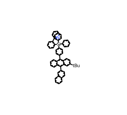 CC(C)(C)c1ccc2c(-c3ccc([Si](c4ccccc4)(c4ccccc4)c4ccccc4-c4ccccn4)cc3)c3ccccc3c(-c3ccc4ccccc4c3)c2c1